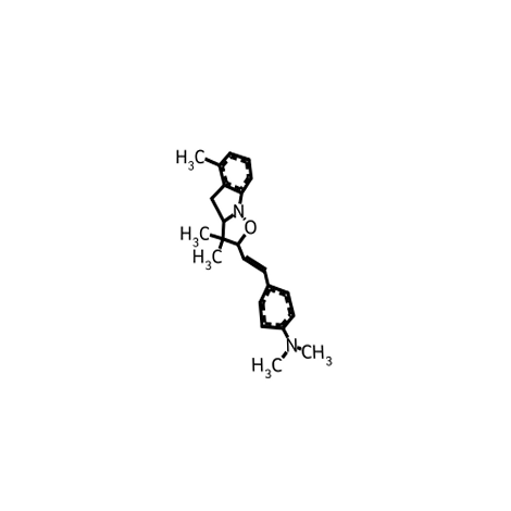 Cc1cccc2c1CC1N2OC(C=Cc2ccc(N(C)C)cc2)C1(C)C